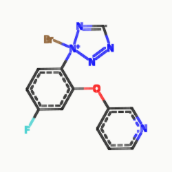 Fc1ccc([N+]2(Br)N=[C]N=N2)c(Oc2cccnc2)c1